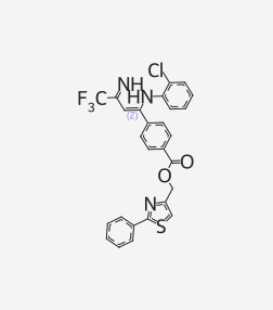 N=C(/C=C(\Nc1ccccc1Cl)c1ccc(C(=O)OCc2csc(-c3ccccc3)n2)cc1)C(F)(F)F